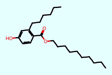 CCCCCCCCCCOC(=O)c1ccc(O)cc1CCCCCC